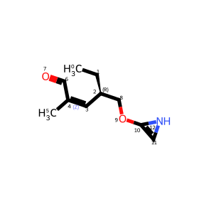 CC[C@H](/C=C(/C)C=O)COC1=CN1